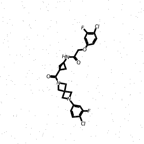 O=C(COc1ccc(Cl)c(F)c1)NC12CC(C(=O)N3CC4(C3)CN(c3ccc(Cl)c(F)c3)C4)(C1)C2